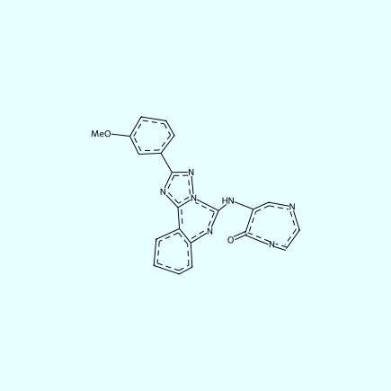 COc1cccc(-c2nc3c4ccccc4nc(Nc4cnccnc4=O)n3n2)c1